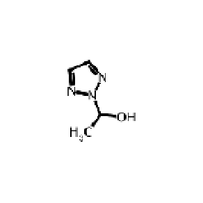 CC(O)n1nccn1